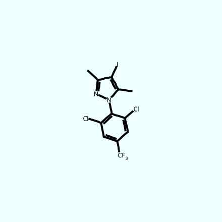 Cc1nn(-c2c(Cl)cc(C(F)(F)F)cc2Cl)c(C)c1I